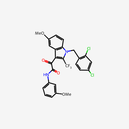 COc1cccc(NC(=O)C(=O)c2c(C(F)(F)F)n(Cc3ccc(Cl)cc3Cl)c3ccc(OC)cc23)c1